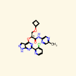 Cc1cnc(NC(=O)[C@H](COC2CCC2)Oc2nc(-c3ncccc3Cl)nc3[nH]ncc23)cn1